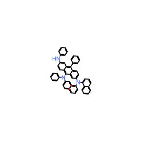 c1ccc(Nc2ccc3c(N(c4ccccc4)c4ccccc4)c4cc(N(c5ccccc5)c5cccc6ccccc56)ccc4c(-c4ccccc4)c3c2)cc1